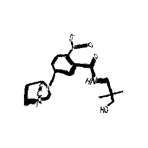 CC(C)(CO)CNC(=O)c1cc(N2CCN3CCC2CC3)ccc1[N+](=O)[O-]